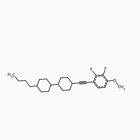 CCCCC1CCC(C2CCC(C#Cc3ccc(OC)c(F)c3F)CC2)CC1